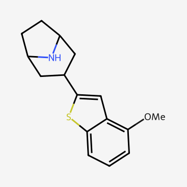 COc1cccc2sc(C3CC4CCC(C3)N4)cc12